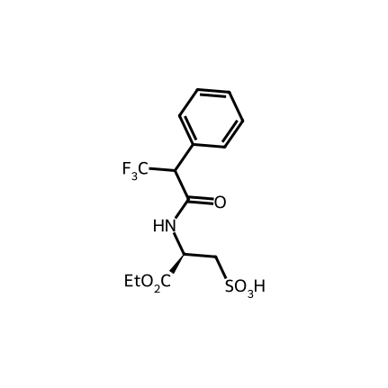 CCOC(=O)[C@H](CS(=O)(=O)O)NC(=O)C(c1ccccc1)C(F)(F)F